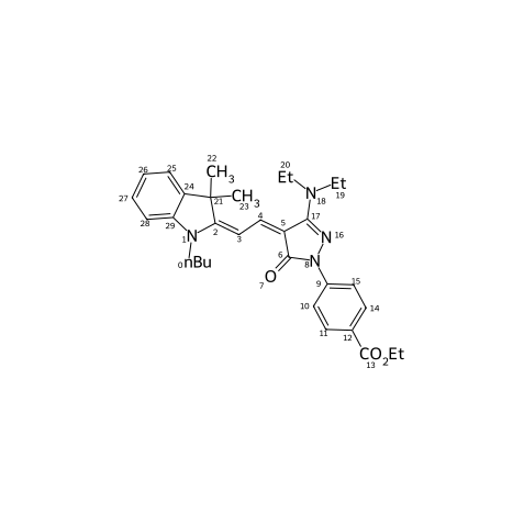 CCCCN1/C(=C/C=C2\C(=O)N(c3ccc(C(=O)OCC)cc3)N=C2N(CC)CC)C(C)(C)c2ccccc21